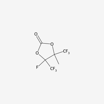 CC1(C(F)(F)F)OC(=O)OC1(F)C(F)(F)F